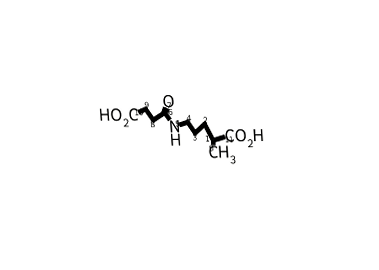 CC(CCCNC(=O)CCC(=O)O)C(=O)O